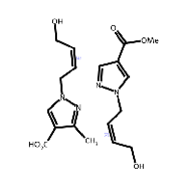 COC(=O)c1cnn(C/C=C\CO)c1.Cc1nn(C/C=C\CO)cc1C(=O)O